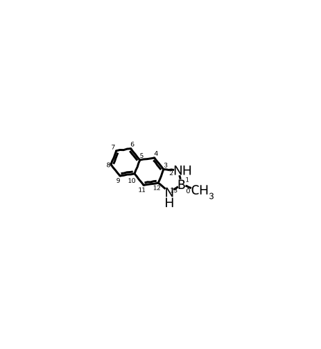 CB1Nc2cc3ccccc3cc2N1